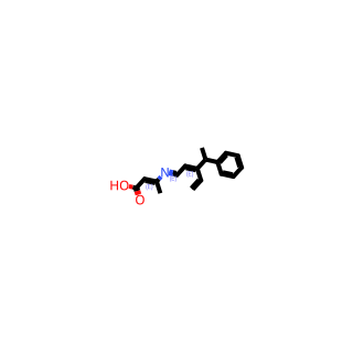 C=C\C(=C/C=N/C(C)=C/C(=O)O)C(C)c1ccccc1